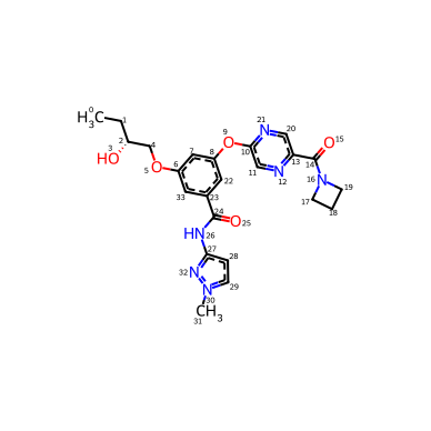 CC[C@@H](O)COc1cc(Oc2cnc(C(=O)N3CCC3)cn2)cc(C(=O)Nc2ccn(C)n2)c1